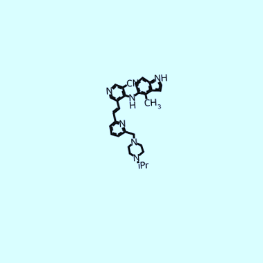 Cc1c(Nc2c(C#N)cncc2C=Cc2cccc(CN3CCN(C(C)C)CC3)n2)ccc2[nH]ccc12